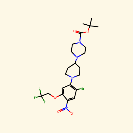 CC(C)(C)OC(=O)N1CCN(C2CCN(c3cc(OCC(F)(F)F)c([N+](=O)[O-])cc3Br)CC2)CC1